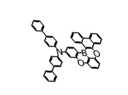 c1ccc(-c2ccc(N(c3ccc(-c4ccccc4)cc3)c3ccc4c(c3)Oc3cccc5c3B4c3c(c4ccccc4c4ccccc34)O5)cc2)cc1